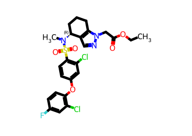 CCOC(=O)Cn1ncc2c1CCC[C@H]2N(C)S(=O)(=O)c1ccc(Oc2ccc(F)cc2Cl)cc1Cl